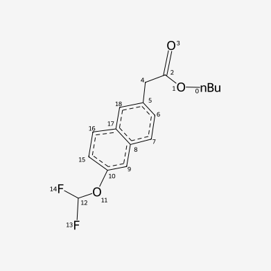 CCCCOC(=O)Cc1ccc2cc(OC(F)F)ccc2c1